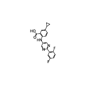 O=C(O)c1cc(C2CC2)ccc1Nc1cnc(-c2cc(F)ccc2F)nc1